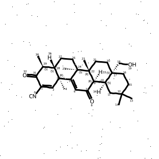 [C-]#[N+]C1=C[C@]2(C)C3=CC(=O)[C@@H]4[C@@H]5CC(C)(C)CC[C@]5(CO)CC[C@@]4(C)[C@]3(C)CC[C@H]2[C@H](C)C1=O